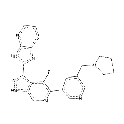 Fc1c(-c2cncc(CN3CCCC3)c2)ncc2[nH]nc(-c3nc4cccnc4[nH]3)c12